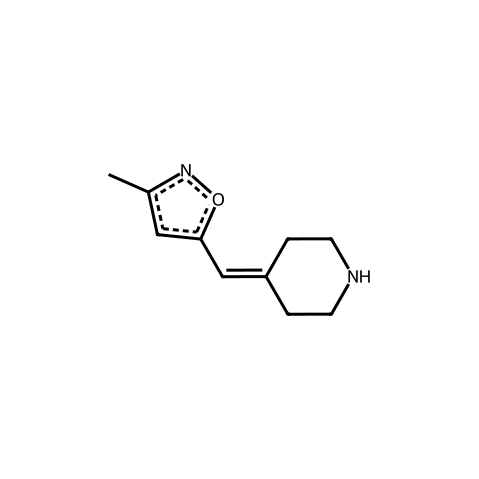 Cc1cc(C=C2CCNCC2)on1